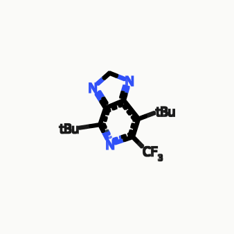 CC(C)(C)c1nc(C(F)(F)F)c(C(C)(C)C)c2c1=NCN=2